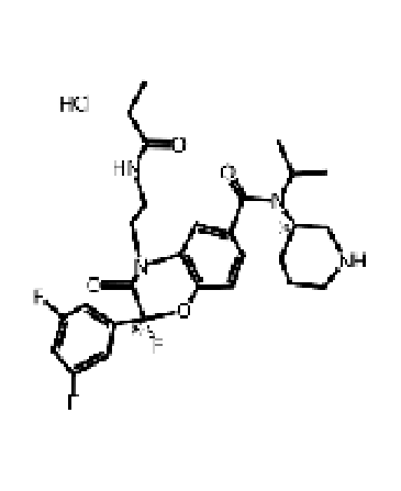 CCC(=O)NCCN1C(=O)[C@](F)(c2cc(F)cc(F)c2)Oc2ccc(C(=O)N(C(C)C)[C@@H]3CCCNC3)cc21.Cl